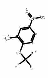 [CH2]c1cc([N+](=O)[O-])ccc1OC(F)(F)F